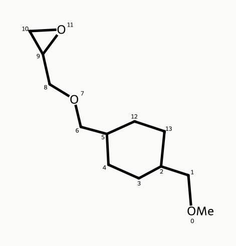 COCC1CCC(COCC2CO2)CC1